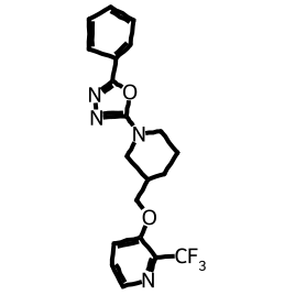 FC(F)(F)c1ncccc1OCC1CCCN(c2nnc(-c3ccccc3)o2)C1